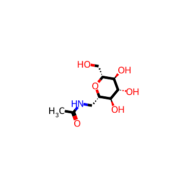 CC(=O)NC[C@@H]1O[C@H](CO)[C@@H](O)[C@H](O)[C@H]1O